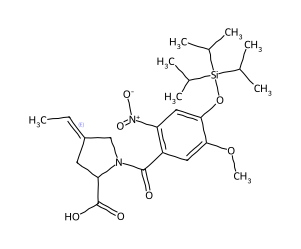 C/C=C1\CC(C(=O)O)N(C(=O)c2cc(OC)c(O[Si](C(C)C)(C(C)C)C(C)C)cc2[N+](=O)[O-])C1